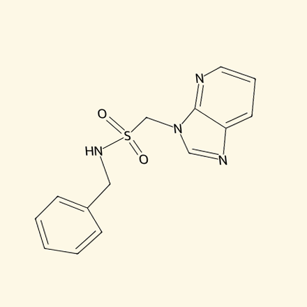 O=S(=O)(Cn1cnc2cccnc21)NCc1ccccc1